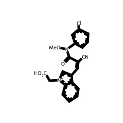 CON(C(=O)C(C#N)=Cc1cn(CC(=O)O)c2ccccc12)c1cccc(Cl)c1